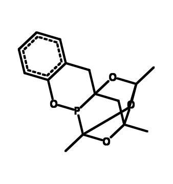 CC12CC34Cc5ccccc5OP3C(C)(CC(C)(O1)O4)O2